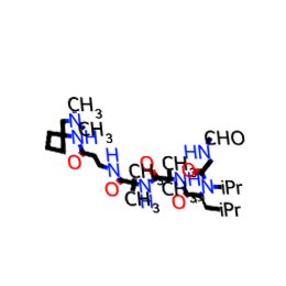 CC(C)C[C@@H](C(=O)NC(C)(C)C(=O)NC(C)(C)C(=O)NCCC(=O)NC1(CN(C)C)CCC1)N(C(=O)CNC=O)C(C)C